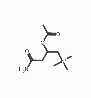 CC(=O)OC(CC(N)=O)C[N+](C)(C)C